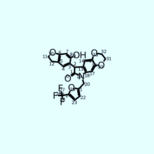 O=C1C(c2cc3c(cc2O)OCC3)c2cc3c(cc2N1Cc1ccc(C(F)(F)F)o1)OCCO3